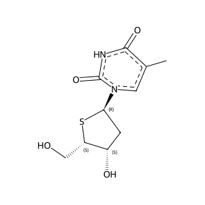 Cc1cn([C@H]2C[C@H](O)[C@H](CO)S2)c(=O)[nH]c1=O